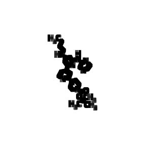 CCCCNc1cc(Nc2cnccn2)nc(-c2ccnc(N3CCN(C(=O)OC(C)(C)C)CC3)c2)c1